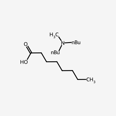 CCCCCCCC(=O)O.CCCCN(C)CCCC